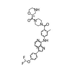 Cc1cc(Nc2nccn3c(-c4ccc(OC(F)F)cc4)cnc23)ccc1C(=O)N1CCN(C(=O)[C@@H]2CNCCO2)CC1